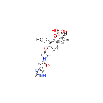 O=C(O)c1c(OC2CN(C(=O)Cc3c[nH]cn3)C2)ccc2c1O[B-](O)(O)[C@@H]1CC21